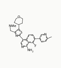 CNCc1nc(-c2cnc(N)c3c(F)c(-c4ccc(C)nc4)ccc23)sc1C1CCOCC1